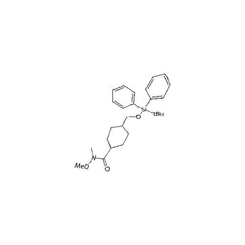 CON(C)C(=O)C1CCC(CO[Si](c2ccccc2)(c2ccccc2)C(C)(C)C)CC1